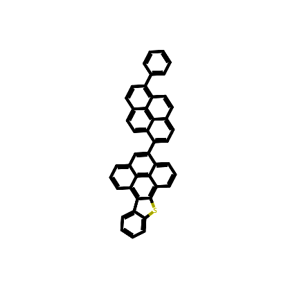 c1ccc(-c2ccc3ccc4c(-c5cc6cccc7c8c9ccccc9sc8c8cccc5c8c67)ccc5ccc2c3c54)cc1